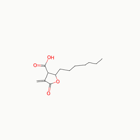 C=C1C(=O)OC(CCCCCCC)C1C(=O)O